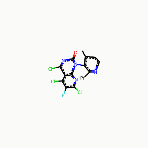 Cc1ccnc(C(C)C)c1-n1c(=O)nc(Cl)c2c(Cl)c(F)c(Cl)nc21